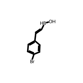 OB/C=C/c1ccc(Br)cc1